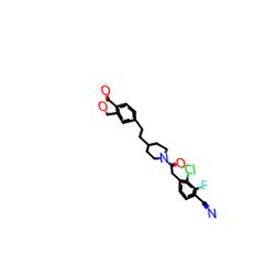 N#Cc1ccc(CC(=O)N2CCC(CCc3ccc4c(c3)COC4=O)CC2)c(Cl)c1F